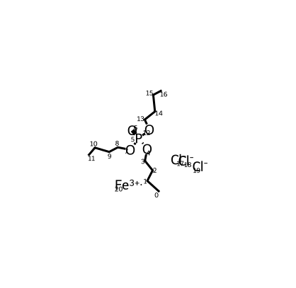 CCCCOP(=O)(OCCCC)OCCCC.[Cl-].[Cl-].[Cl-].[Fe+3]